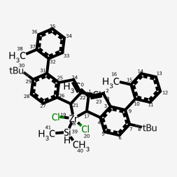 CC1=Cc2c(ccc(C(C)(C)C)c2-c2ccccc2C)[CH]1[Zr]([Cl])([Cl])([CH]1C(C)=Cc2c1ccc(C(C)(C)C)c2-c1ccccc1C)[SiH](C)C